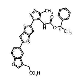 Cc1nsc(-c2cc3sc(-c4ccc5occ(CC(=O)O)c5c4)cc3s2)c1NC(=O)O[C@H](C)c1ccccc1